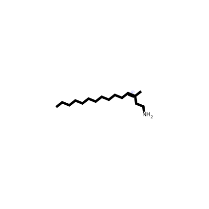 CCCCCCCCCCC/C=C(/C)CCN